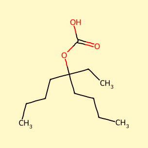 CCCCC(CC)(CCCC)OC(=O)O